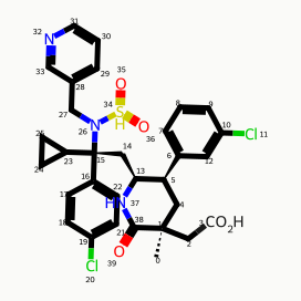 C[C@@]1(CC(=O)O)C[C@H](c2cccc(Cl)c2)[C@H](C[C@@](c2ccc(Cl)cc2)(C2CC2)N(Cc2cccnc2)[SH](=O)=O)NC1=O